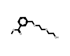 COC(=O)c1cccc(COCCOCCO)c1